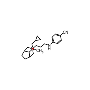 CN(CC1CC1)C1C2CCC1CN(CCCNc1ccc(C#N)cc1)C2